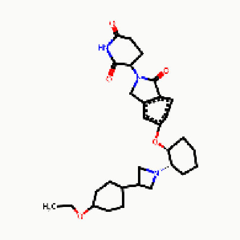 CCOC1CCC(C2CN([C@H]3CCCC[C@@H]3Oc3ccc4c(c3)CN(C3CCC(=O)NC3=O)C4=O)C2)CC1